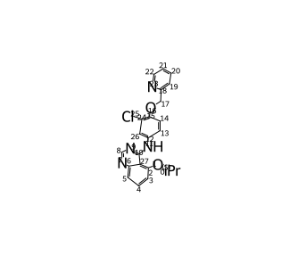 [CH2][C@@H](C)Oc1cccc2ncnc(Nc3ccc(OCc4ccccn4)c(Cl)c3)c12